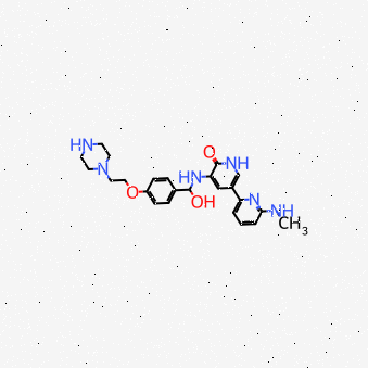 CNc1cccc(-c2c[nH]c(=O)c(NC(O)c3ccc(OCCN4CCNCC4)cc3)c2)n1